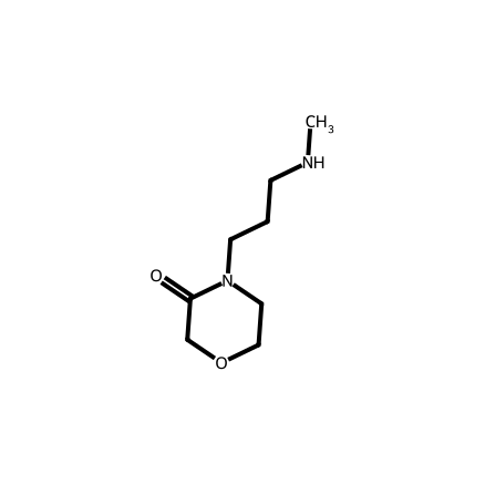 CNCCCN1CCOCC1=O